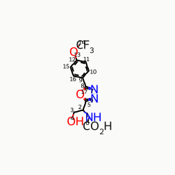 O=C(O)NC(CO)c1nnc(-c2ccc(OC(F)(F)F)cc2)o1